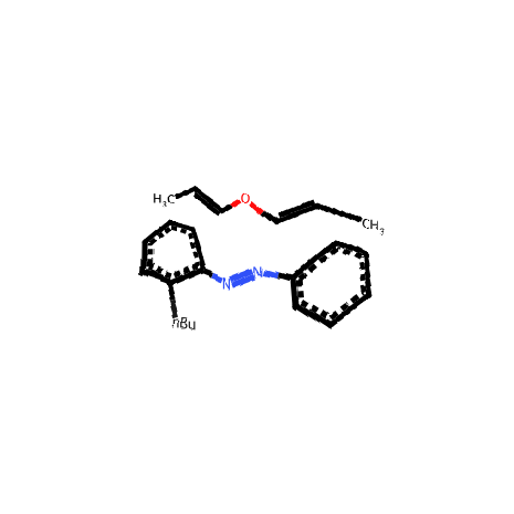 CC=COC=CC.CCCCc1ccccc1N=Nc1ccccc1